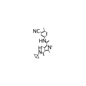 C=C(NC12CC1C2)c1c(C)c(C(=C)Nc2ccc(C)c(C#N)c2)n(C)c1C